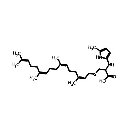 CC(C)=CCCC(C)=CCCC(C)=CCCC(C)=CCSCC(Nc1ccc(C)[nH]1)C(=O)O